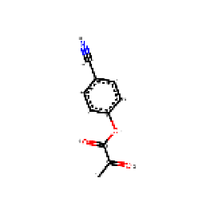 CC(=O)C(=O)Oc1ccc(C#N)cc1